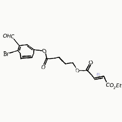 CCOC(=O)/C=C/C(=O)OCCCC(=O)Oc1ccc(Br)c(C=O)c1